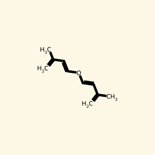 C=C(C)/C=C/O/C=C/C(=C)C